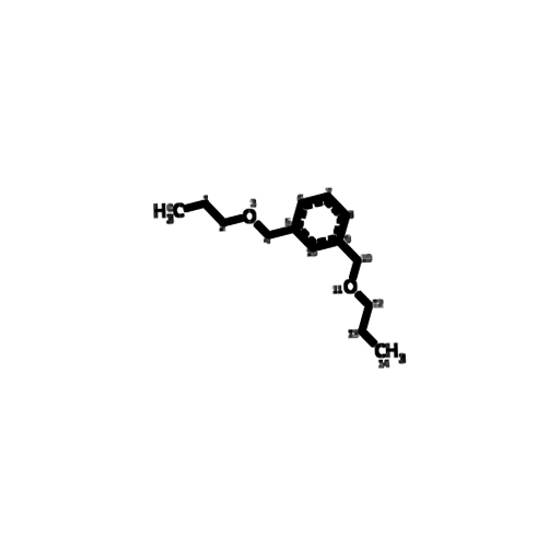 CCCOCc1cccc(COCCC)c1